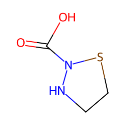 O=C(O)N1NCCS1